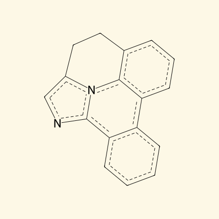 c1ccc2c(c1)c1cccc3c1n1c(cnc21)CC3